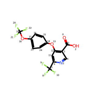 O=C(O)c1cnc(C(F)(F)F)cc1Oc1ccc(OC(F)(F)F)cc1